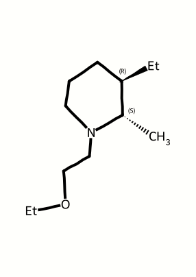 CCOCCN1CCC[C@@H](CC)[C@@H]1C